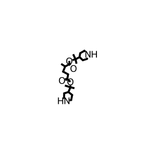 CC(CCC(=O)OC(C)(C)C1CCNCC1)C(=O)OC(C)(C)C1CCNCC1